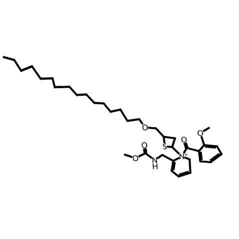 CCCCCCCCCCCCCCCCOCC1CC([N+]2(C(=O)c3ccccc3OC)CC=CC=C2CNC(=O)OC)S1